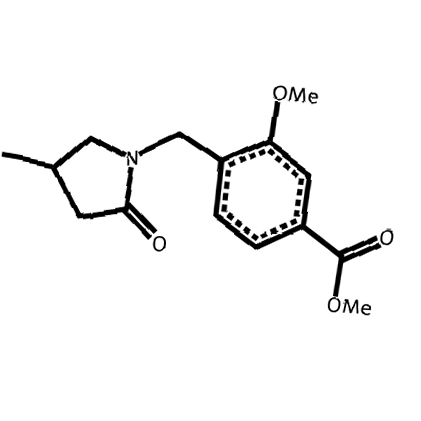 COC(=O)c1ccc(CN2CC(C)CC2=O)c(OC)c1